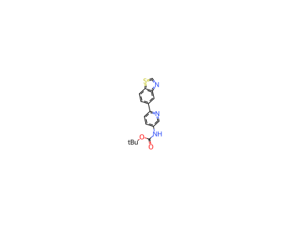 CC(C)(C)OC(=O)Nc1ccc(-c2ccc3scnc3c2)nc1